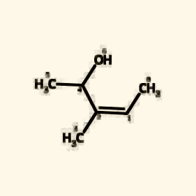 C/C=C(/C)C(C)O